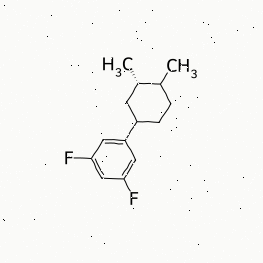 CC1CCC(c2cc(F)cc(F)c2)C[C@@H]1C